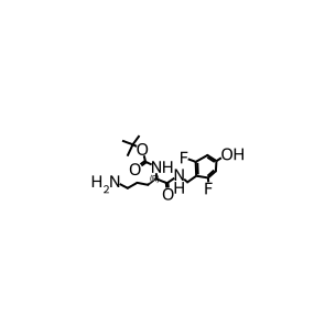 CC(C)(C)OC(=O)N[C@H](CCCN)C(=O)NCc1c(F)cc(O)cc1F